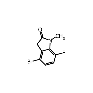 CN1C(=O)Cc2c(Br)ccc(F)c21